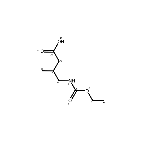 CCOC(=O)NCC(C)CC(=O)O